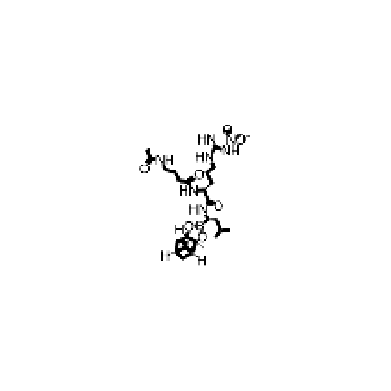 CC(=O)NCCCC(=O)N[C@@H](CCCNC(=N)N[N+](=O)[O-])C(=O)N[C@@H](CC(C)C)B1O[C@@H]2C[C@@H]3C[C@@H](C3(C)C)[C@]2(C)O1